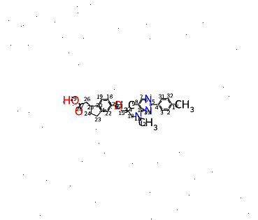 Cc1ccc(-c2ncc(C)c(N(C)CCCOc3ccc4c(c3)CC[C@H]4CC(=O)O)n2)cc1